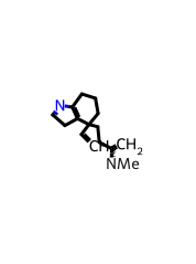 C=CC1(CCC(=C)NC)CCCC2=C1CC=N2